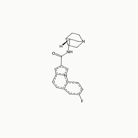 O=C(N[C@H]1CN2CCC1CC2)c1cc2ccc3cc(F)ccc3n2c1